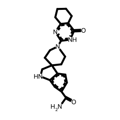 NC(=O)c1ccc2c(c1)NCC21CCN(c2nc3c(c(=O)[nH]2)CCCC3)CC1